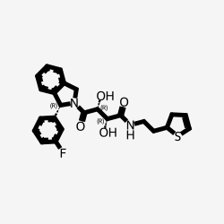 O=C(NCCC1CC=CS1)[C@H](O)[C@@H](O)C(=O)N1Cc2ccccc2[C@H]1c1cccc(F)c1